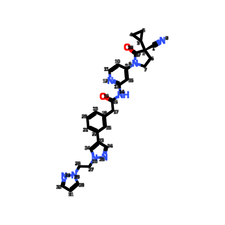 N#C[C@@]1(C2CC2)CCN(c2ccnc(NC(=O)Cc3cccc(-c4cnn(CCn5cccn5)c4)c3)c2)C1=O